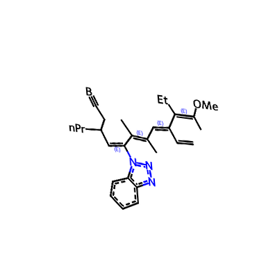 B#CCC(\C=C(/C(C)=C(C)/C=C(C=C)/C(CC)=C(\C)OC)n1nnc2ccccc21)CCC